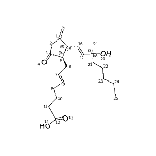 C=C1CC(=O)[C@H](CC=CCCCC(=O)O)[C@H]1C=C[C@@](C)(O)CCCCC